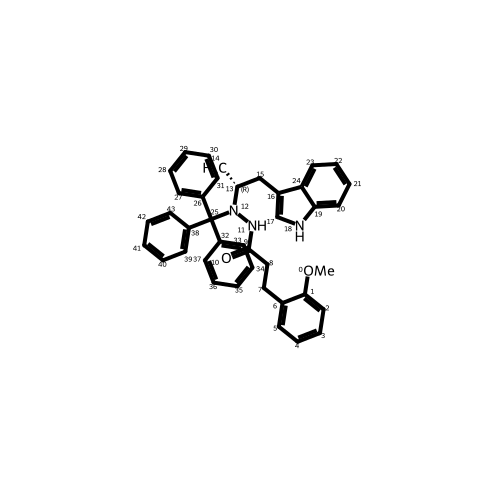 COc1ccccc1CCC(=O)NN([C@H](C)Cc1c[nH]c2ccccc12)C(c1ccccc1)(c1ccccc1)c1ccccc1